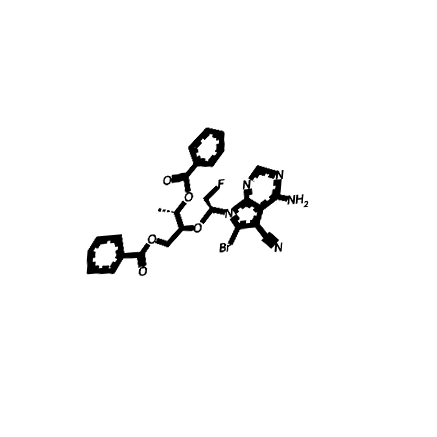 C[C@H](OC(=O)c1ccccc1)C(COC(=O)c1ccccc1)O[C@@H](CF)n1c(Br)c(C#N)c2c(N)ncnc21